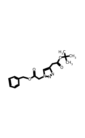 CC(C)(C)OC(=O)Cc1cn(CC(=O)OCc2ccccc2)nn1